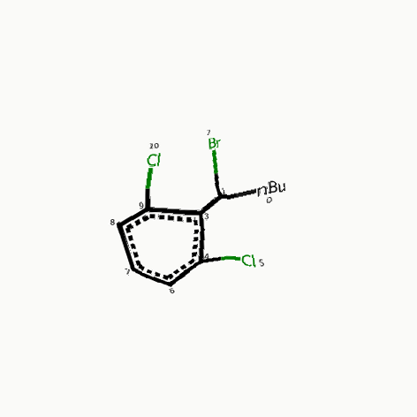 CCCCC(Br)c1c(Cl)cccc1Cl